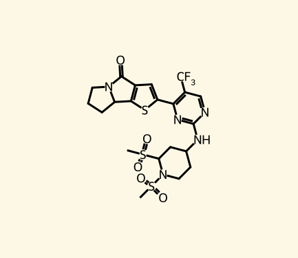 CS(=O)(=O)C1CC(Nc2ncc(C(F)(F)F)c(-c3cc4c(s3)C3CCCN3C4=O)n2)CCN1S(C)(=O)=O